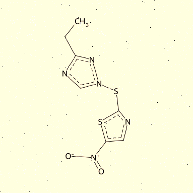 CCc1ncn(Sc2ncc([N+](=O)[O-])s2)n1